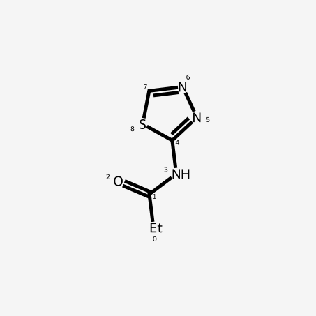 CCC(=O)Nc1nncs1